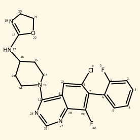 Fc1ccccc1-c1c(Cl)cc2c(N3CCC(NC4=NCCO4)CC3)ncnc2c1F